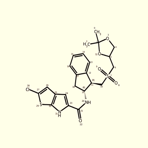 CC1(C)OCC(CS(=O)(=O)C[C@@H]2c3ccccc3C[C@H]2NC(=O)c2cc3cc(Cl)sc3[nH]2)O1